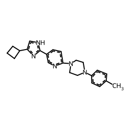 Cc1ccc(N2CCN(c3ccc(-c4nc(C5CCC5)c[nH]4)cn3)CC2)cc1